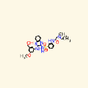 CCN(C)CC(=O)Nc1cccc(S(=O)(=O)Nc2nc3ccccc3nc2Nc2cc(CO)cc(OC)c2)c1